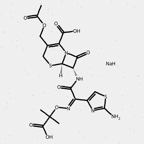 CC(=O)OCC1=C(C(=O)O)N2C(=O)[C@H](NC(=O)/C(=N\OC(C)(C)C(=O)O)c3csc(N)n3)[C@H]2SC1.[NaH]